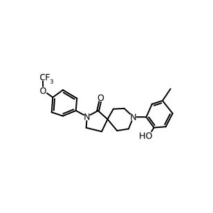 Cc1ccc(O)c(N2CCC3(CC2)CCN(c2ccc(OC(F)(F)F)cc2)C3=O)c1